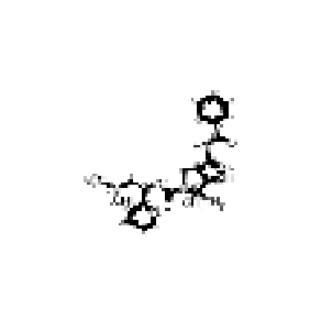 CN(C)C[C@@H](OC(=O)N1Cc2c(NC(=O)c3ccccc3)n[nH]c2C1(C)C)c1ccccn1